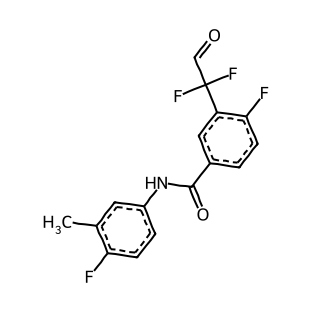 Cc1cc(NC(=O)c2ccc(F)c(C(F)(F)C=O)c2)ccc1F